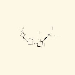 COC(C)(C)C#Cc1nccc(N2CCC(OC3CC(OC(C)C)C3)CC2)n1